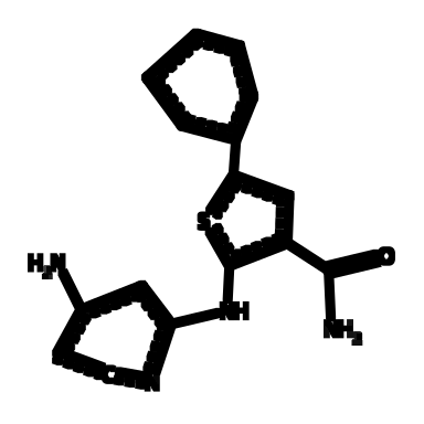 NC(=O)c1cc(-c2ccccc2)sc1Nc1cc(N)ccn1